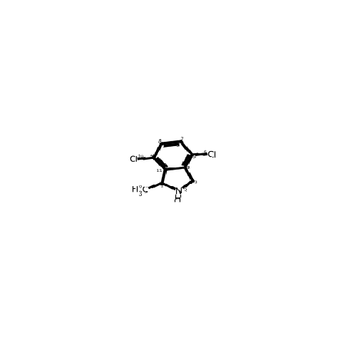 CC1NCc2c(Cl)ccc(Cl)c21